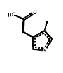 O=C(O)Cc1cscc1I